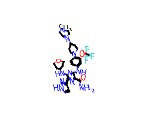 CN1CCN(C2CCN(c3ccc(Nc4nc(NC5CCOCC5)c(-c5cc[nH]n5)nc4C(N)=O)cc3OC(F)(F)F)CC2)CC1